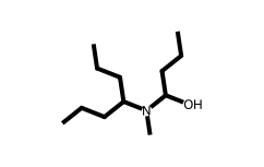 CCCC(O)N(C)C(CCC)CCC